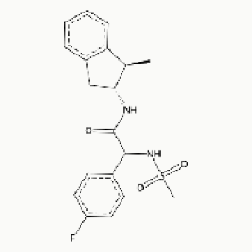 C[C@@H]1c2ccccc2C[C@H]1NC(=O)C(NS(C)(=O)=O)c1ccc(F)cc1